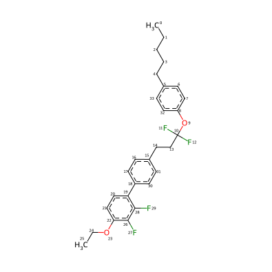 CCCCCc1ccc(OC(F)(F)CCc2ccc(-c3ccc(OCC)c(F)c3F)cc2)cc1